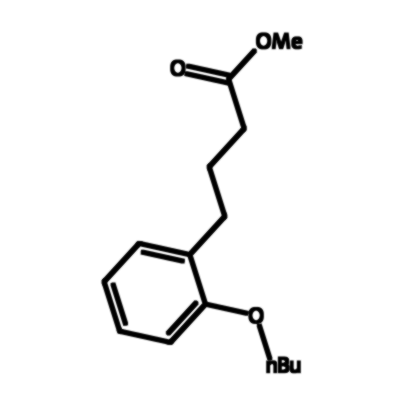 CCCCOc1ccccc1CCCC(=O)OC